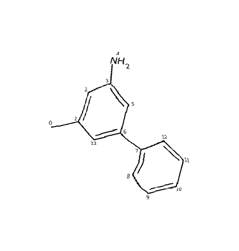 Cc1cc(N)cc(-c2ccccc2)c1